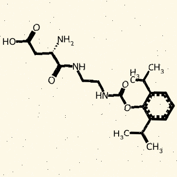 CC(C)c1cccc(C(C)C)c1OC(=O)NCCNC(=O)[C@@H](N)CC(=O)O